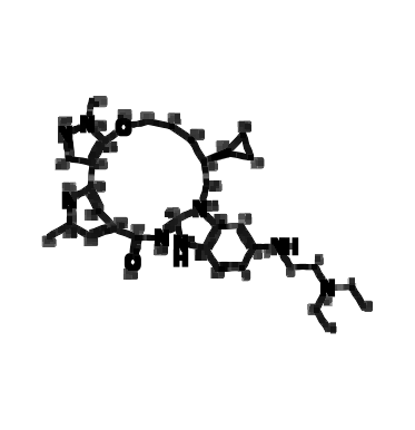 CCN(CC)CCNc1ccc2c(c1)N1C[C@H](C3CC3)CCCOc3c(cnn3C)-c3cc(cc(C)n3)C(=O)/N=C/1N2